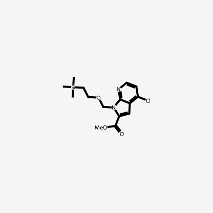 COC(=O)c1cc2c(Cl)ccnc2n1COCC[Si](C)(C)C